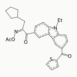 CCn1c2ccc(C(=O)/C(CC3CCCC3)=N\OC(C)=O)cc2c2cc(C(=O)c3cccs3)ccc21